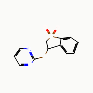 O=S1(=O)CC(Sc2ncccn2)c2ccccc21